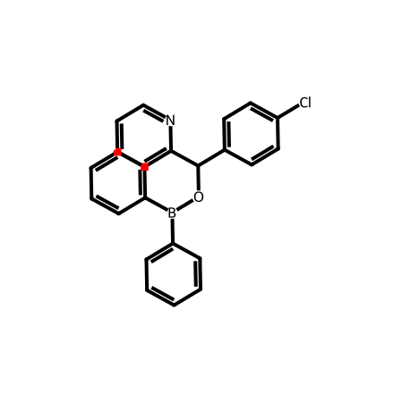 Clc1ccc(C(OB(c2ccccc2)c2ccccc2)c2ccccn2)cc1